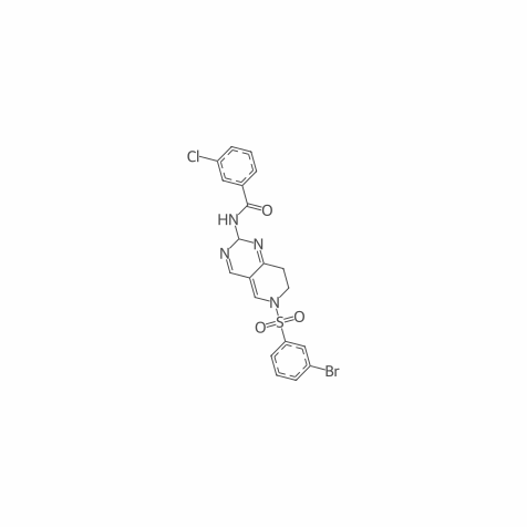 O=C(NC1N=CC2=CN(S(=O)(=O)c3cccc(Br)c3)CCC2=N1)c1cccc(Cl)c1